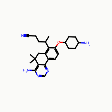 CC(CCC#N)c1c(OC2CCC(N)CC2)ccc2c1CC(C)(C)c1c(N)ncnc1-2